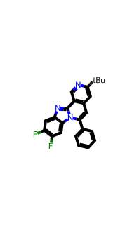 CC(C)(C)c1cc2cc(-c3ccccc3)n3c4cc(F)c(F)cc4nc3c2cn1